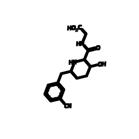 N#Cc1cccc(CC2CCC(O)C(C(=O)NCC(=O)O)N2)c1